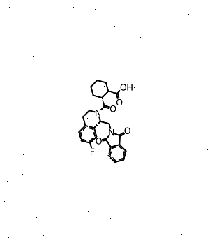 O=C(O)[C@@H]1CCCC[C@@H]1C(=O)N1CCc2ccc(F)cc2C1CN1C(=O)c2ccccc2C1=O